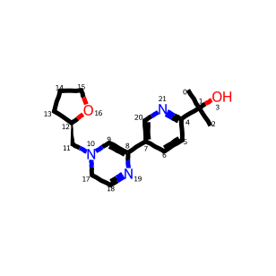 CC(C)(O)c1ccc(C2=CN(C[C@H]3CCCO3)CC=N2)cn1